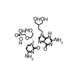 Nc1ccn(C[C@@H](CO)OCP(=O)(O)O)c(=O)n1.Nc1nc(=O)c2ncn(CCC(CO)CO)c2[nH]1